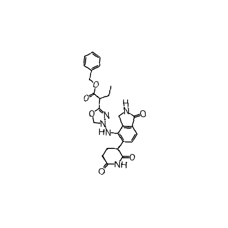 CCC(C(=O)OCc1ccccc1)C1=NN(Nc2c(C3CCC(=O)NC3=O)ccc3c2CNC3=O)CO1